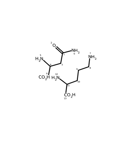 NC(=O)CC(N)C(=O)O.NCCCC(N)C(=O)O